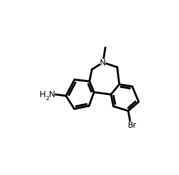 CN1Cc2cc(N)ccc2-c2cc(Br)ccc2C1